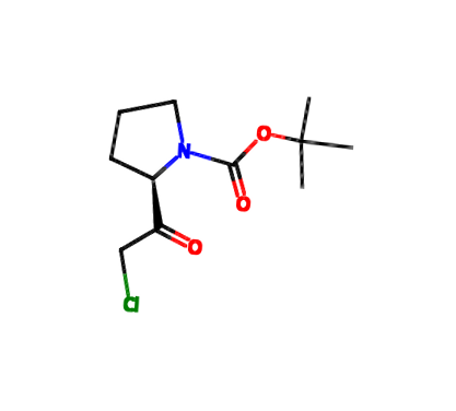 CC(C)(C)OC(=O)N1CCC[C@@H]1C(=O)CCl